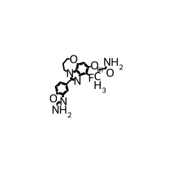 C[C@H](Oc1cc2c3c(nc(-c4ccc5oc(N)nc5c4)n3CCCO2)c1F)C(N)=O